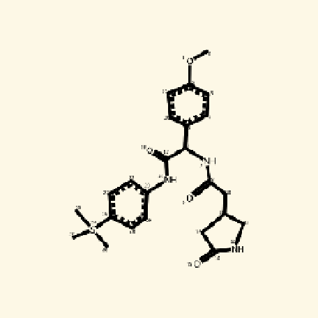 COc1ccc(C(NC(=O)CC2CNC(=O)C2)C(=O)Nc2ccc(S(C)(C)C)cc2)cc1